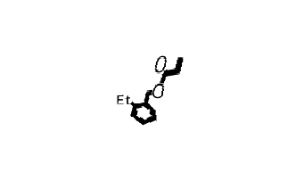 C=CC(=O)OCc1ccccc1CC